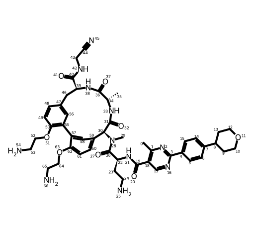 Cc1nc(-c2ccc(C3CCOCC3)cc2)ncc1C(=O)N[C@@H](CCN)C(=O)N(C)[C@@H]1C(=O)N[C@@H](C)C(=O)N[C@H](C(=O)NCC#N)Cc2ccc(OCCN)c(c2)-c2cc1ccc2OCCN